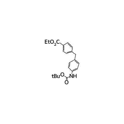 CCOC(=O)c1ccc(Cc2ccc(NC(=O)OC(C)(C)C)cc2)cc1